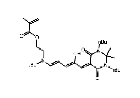 C=C(C)C(=O)OCCN(/C=C/C=C(\O)C=C1C(=O)N(CCCC)C(C)(C)N(CCCC)C1=O)C(C)(C)C